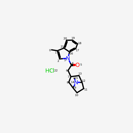 Cc1cn(C(=O)CC2CC3CCC(C2)N3C)c2ccccc12.Cl